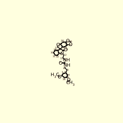 COc1cc(CCNC(=O)NCCN2C(=O)C3(COc4cc5c(cc43)OCO5)c3ccccc32)cc(OC)c1